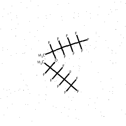 CC(F)(OC(C)(F)C(F)(F)C(F)(F)C(F)(F)F)C(F)(F)C(F)(F)C(F)(F)F